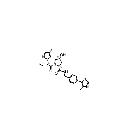 Cc1cnn([C@H](C(=O)N2C[C@H](O)C[C@H]2C(=O)NCc2ccc(-c3scnc3C)cc2)C(C)C)c1